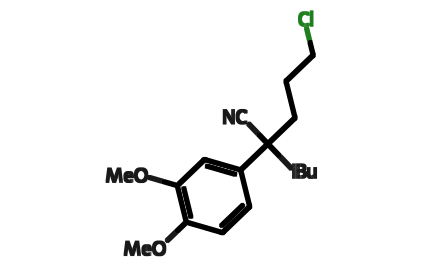 CCC(C)C(C#N)(CCCCl)c1ccc(OC)c(OC)c1